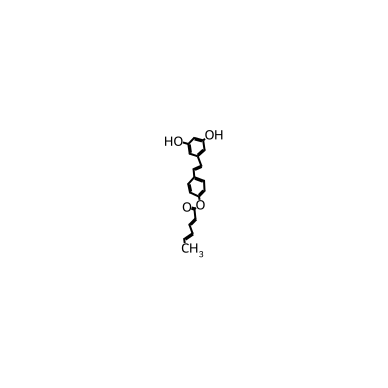 C/C=C/C=C/C(=O)Oc1ccc(C=Cc2cc(O)cc(O)c2)cc1